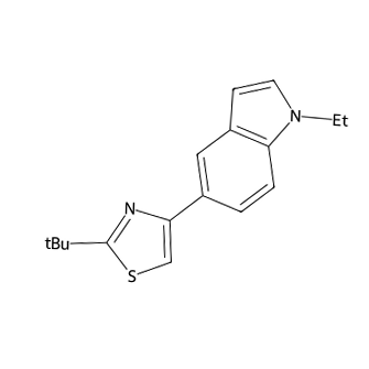 CCn1ccc2cc(-c3csc(C(C)(C)C)n3)ccc21